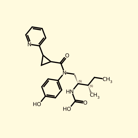 CC[C@H](C)[C@@H](CN(C(=O)C1CC1c1ccccn1)c1ccc(O)cc1)NC(=O)O